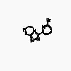 Brc1cccc(-c2nnc3n2CCN=C3)n1